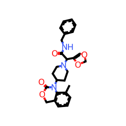 Cc1cccc2c1N(C1CCN(C(C(=O)NCc3ccccc3)C3=COCO3)CC1)C(=O)OC2